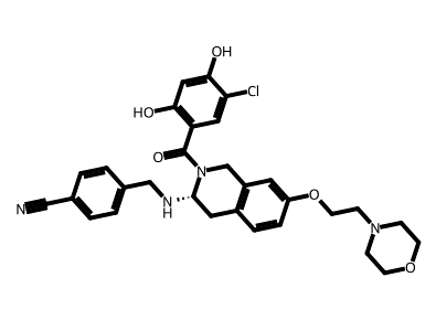 N#Cc1ccc(CN[C@H]2Cc3ccc(OCCN4CCOCC4)cc3CN2C(=O)c2cc(Cl)c(O)cc2O)cc1